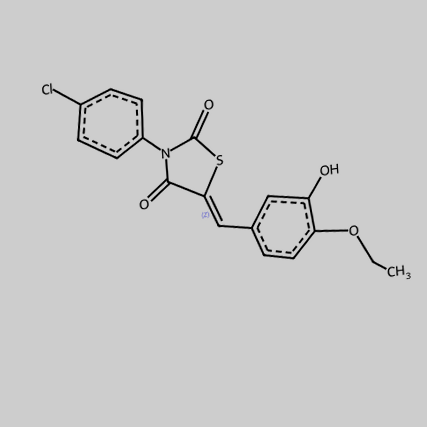 CCOc1ccc(/C=C2\SC(=O)N(c3ccc(Cl)cc3)C2=O)cc1O